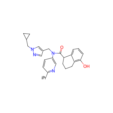 CC(C)c1ccc(N(Cc2cnn(CC3CC3)c2)C(=O)C2CCCc3c(O)cccc32)cn1